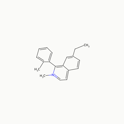 CCc1ccc2cc[n+](C)c(-c3ccccc3C)c2c1